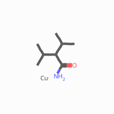 CC(C)C(C(N)=O)C(C)C.[Cu]